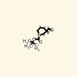 CC(C)(C)OC(=O)N1CCCC(F)(C=O)C1